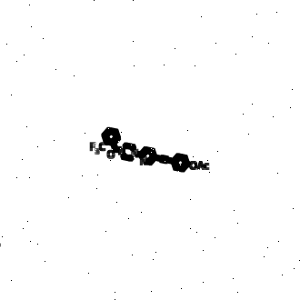 CC(=O)Oc1ccc(C#Cc2ccc(N3CCN(C(=O)c4ccccc4C(F)(F)F)CC3)nc2)cc1